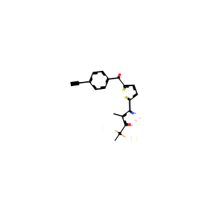 C#Cc1ccc(C(=O)c2ccc(-c3noc(C(C)(P)P)c3C)s2)cc1